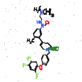 Cc1ccc(N(C=O)NCCN(C)C)cc1C1CCN(Cc2ccc(Oc3cc(F)c(F)cc3F)cc2)CC1.Cl.Cl